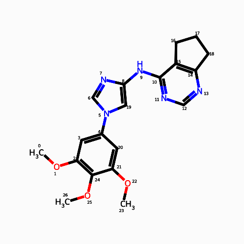 COc1cc(-n2cnc(Nc3ncnc4c3CCC4)c2)cc(OC)c1OC